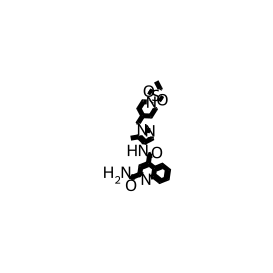 CCS(=O)(=O)N1CCC(Cn2ncc(NC(=O)c3cc(C(N)=O)nc4ccccc34)c2C)CC1